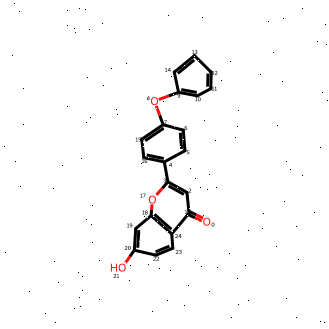 O=c1cc(-c2ccc(Oc3ccccc3)cc2)oc2cc(O)ccc12